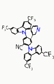 N#Cc1cc(-n2c3ccc(C(F)(F)F)cc3c3cc(C(F)(F)F)ccc32)c(-c2cccnc2)cc1-n1c2ccc(C(F)(F)F)cc2c2cc(C(F)(F)F)ccc21